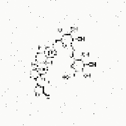 C[C@]12CC[C@H](O[C@@H]3O[C@H](CO[C@@H]4O[C@H](CO)[C@@H](O)[C@H](O)[C@H]4O)[C@@H](O)[C@H](O)[C@H]3O)C[C@@H]1CC[C@@H]1[C@@H]2CC[C@]2(C)[C@@H](C3=CC(=O)OC3)CC[C@]12O